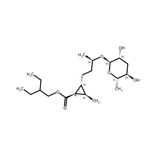 CCC(CC)COC(=O)[C@@H]1[C@H](C)[C@H]1CC[C@@H](C)O[C@@H]1O[C@@H](C)[C@H](O)C[C@H]1O